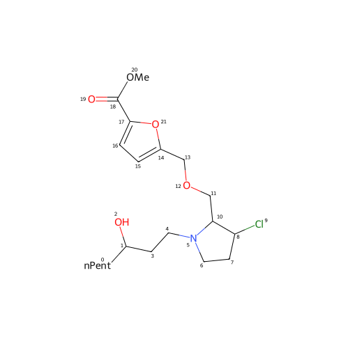 CCCCCC(O)CCN1CCC(Cl)C1COCc1ccc(C(=O)OC)o1